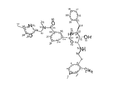 COc1ccccc1CCNC[C@@H](O)[C@H](Cc1ccccc1)NC(=O)c1cccc(C(=O)N(C)Cc2nc(C)cs2)c1